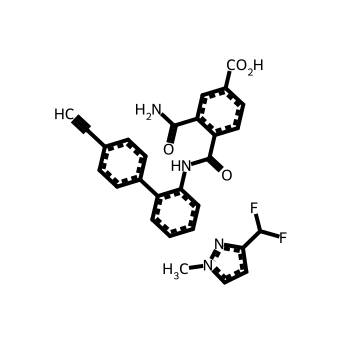 C#Cc1ccc(-c2ccccc2NC(=O)c2ccc(C(=O)O)cc2C(N)=O)cc1.Cn1ccc(C(F)F)n1